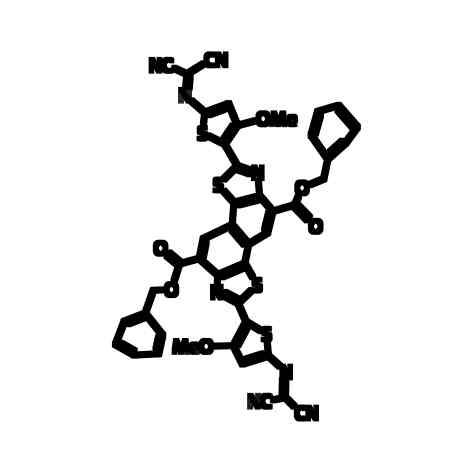 COc1cc(N=C(C#N)C#N)sc1-c1nc2c(C(=O)OCc3ccccc3)cc3c(cc(C(=O)OCc4ccccc4)c4nc(-c5sc(N=C(C#N)C#N)cc5OC)sc43)c2s1